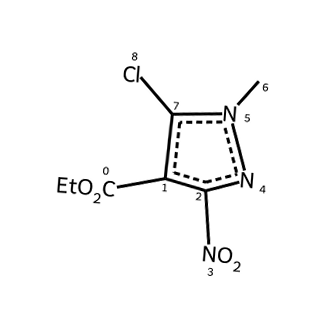 CCOC(=O)c1c([N+](=O)[O-])nn(C)c1Cl